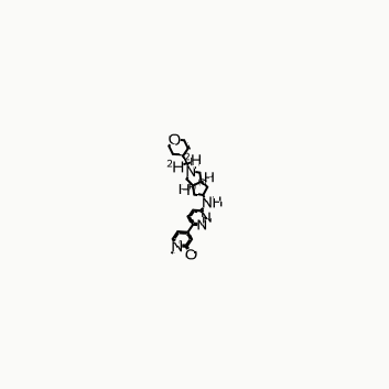 [2H]C([2H])(C1CCOCC1)N1C[C@H]2CC(Nc3ccc(-c4ccn(C)c(=O)c4)nn3)C[C@H]2C1